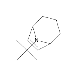 CC(C)(C)N1C2C=CC1CCC2